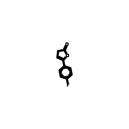 O=C1CC=C(c2ccc(F)cc2)O1